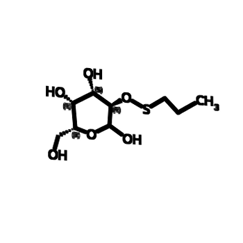 CCCSO[C@H]1C(O)O[C@H](CO)[C@H](O)[C@@H]1O